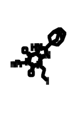 CCCn1c(=O)c2[nH]c(C34CC5CC(C3)C(C5)C4)nc2n(CCI)c1=O